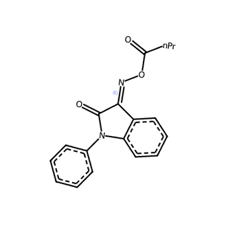 CCCC(=O)O/N=C1/C(=O)N(c2ccccc2)c2ccccc21